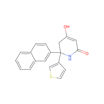 O=C1C=C(O)CC(c2ccsc2)(c2ccc3ccccc3c2)N1